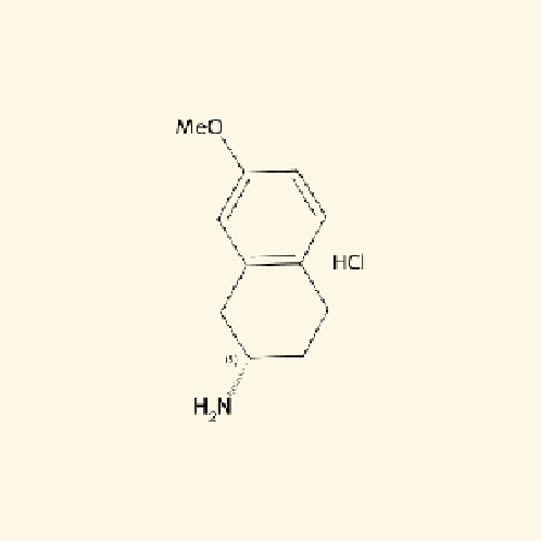 COc1ccc2c(c1)C[C@@H](N)CC2.Cl